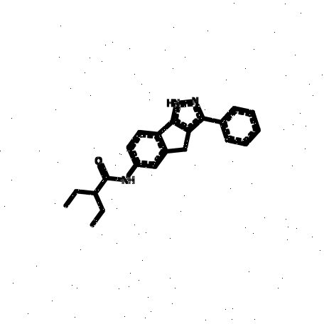 CCC(CC)C(=O)Nc1ccc2c(c1)Cc1c(-c3ccccc3)n[nH]c1-2